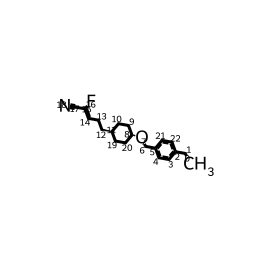 CCc1ccc(CO[C@H]2CC[C@H](CCC=C(F)C#N)CC2)cc1